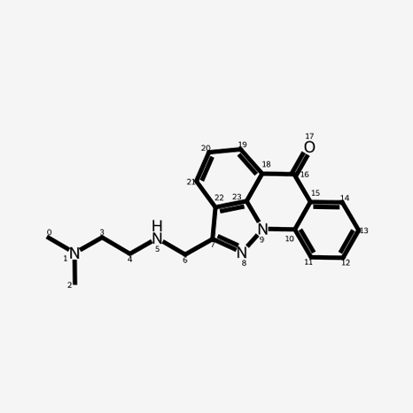 CN(C)CCNCc1nn2c3ccccc3c(=O)c3cccc1c32